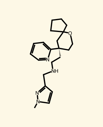 Cn1ccc(CNCC[C@@]2(c3ccccn3)CCOC3(CCCC3)C2)n1